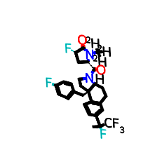 [2H]C([2H])([2H])N1C(=O)[C@@H](F)C[C@H]1C(=O)N1CC[C@@]2(Cc3ccc(F)cc3)c3ccc(C(C)(F)C(F)(F)F)cc3CC[C@@H]12